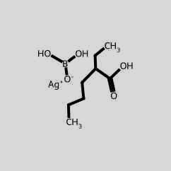 CCCCC(CC)C(=O)O.[Ag+].[O-]B(O)O